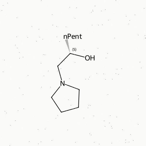 CCCCC[C@H](O)CN1CCCC1